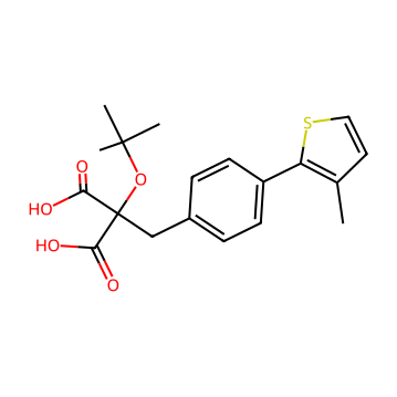 Cc1ccsc1-c1ccc(CC(OC(C)(C)C)(C(=O)O)C(=O)O)cc1